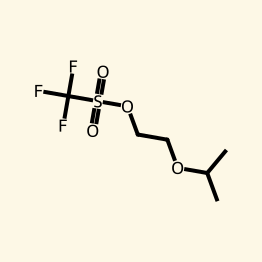 CC(C)OCCOS(=O)(=O)C(F)(F)F